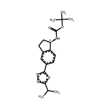 CC(C)c1nc(-c2ccc3c(c2)CC[C@H]3NC(=O)OC(C)(C)C)no1